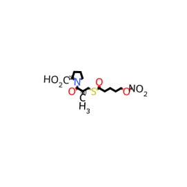 C[C@H](CSC(=O)CCCCO[N+](=O)[O-])C(=O)N1CCC[C@H]1C(=O)O